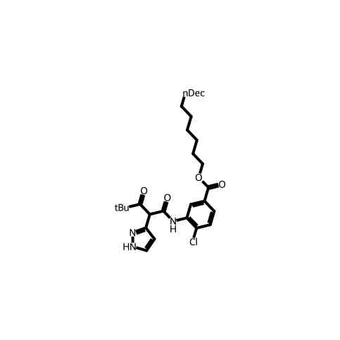 CCCCCCCCCCCCCCCCOC(=O)c1ccc(Cl)c(NC(=O)C(C(=O)C(C)(C)C)c2cc[nH]n2)c1